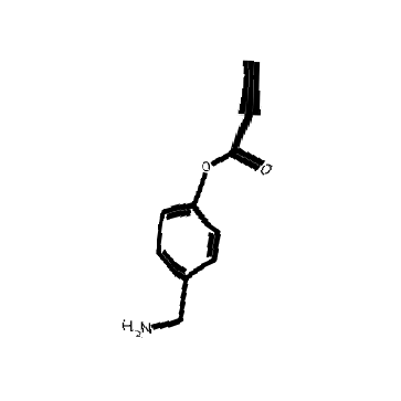 C#CC(=O)Oc1ccc(CN)cc1